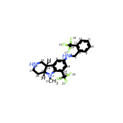 CN1c2c(cc(NCc3ccccc3C(F)(F)F)cc2C(F)(F)F)[C@H]2CNCC[C@H]21